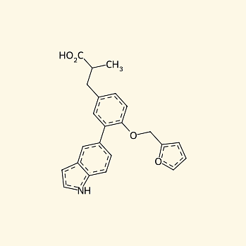 CC(Cc1ccc(OCc2ccco2)c(-c2ccc3[nH]ccc3c2)c1)C(=O)O